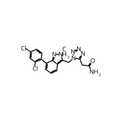 Cn1nc2c(-c3ccc(Cl)cc3Cl)cccc2c1Cn1nnnc1CC(N)=O